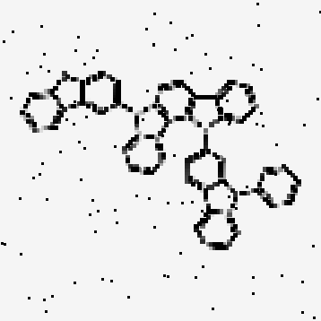 c1ccc(-n2c3ccccc3c3ccc(-n4c5ccccc5c5ccc6c(c7ccccc7n6-c6ccc7sc8ccccc8c7c6)c54)cc32)cc1